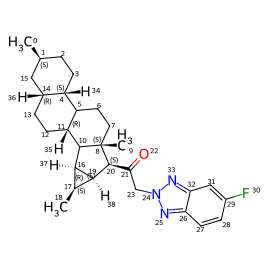 C[C@H]1CC[C@@H]2C3CC[C@@]4(C)C([C@@H]3CC[C@@H]2C1)[C@@H]1[C@H](C)[C@@H]1[C@@H]4C(=O)Cn1nc2ccc(F)cc2n1